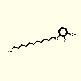 CCCCCCCCCCCCOc1cccc(O)c1Cl